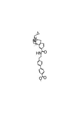 COC(=O)c1ccc(-c2ccc(CCNC(=O)c3ccc4c(c3)[C@@]3(C)CCN(CC5CC5)C(C4)[C@@H]3C)cc2)cc1